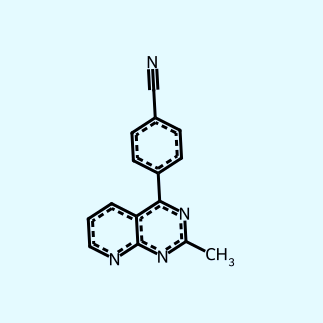 Cc1nc(-c2ccc(C#N)cc2)c2cccnc2n1